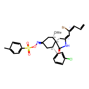 C=C/C=C(Br)\C=C1/C[C@@]2(C(=O)N1)[C@@H](OC)C/C(=N/OS(=O)(=O)c1ccc(C)cc1)C[C@H]2c1cccc(Cl)c1